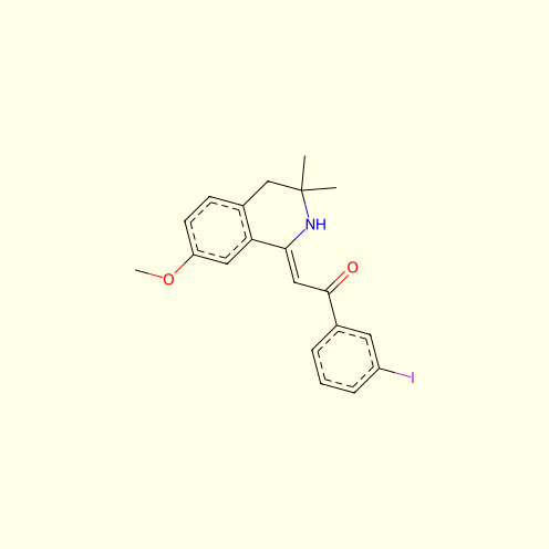 COc1ccc2c(c1)/C(=C/C(=O)c1cccc(I)c1)NC(C)(C)C2